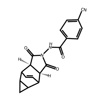 N#Cc1ccc(C(=O)NN2C(=O)[C@@H]3C4C=CC(C5CC54)[C@@H]3C2=O)cc1